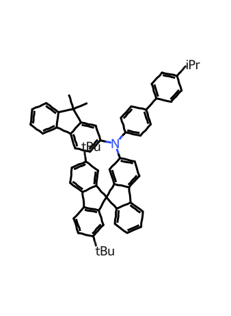 CC(C)c1ccc(-c2ccc(N(c3ccc4c(c3)C(C)(C)c3ccccc3-4)c3ccc4c(c3)C3(c5ccccc5-4)c4cc(C(C)(C)C)ccc4-c4ccc(C(C)(C)C)cc43)cc2)cc1